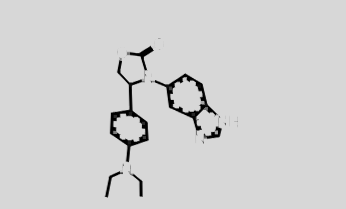 CCN(CC)c1ccc(C2COC(=O)N2c2ccc3[nH]cnc3c2)cc1